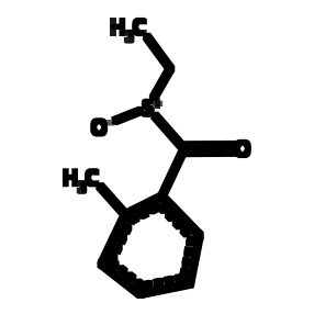 CC[S+]([O-])C(=O)c1ccccc1C